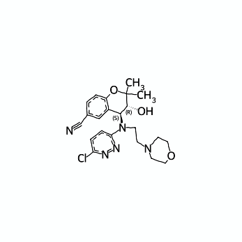 CC1(C)Oc2ccc(C#N)cc2[C@H](N(CCN2CCOCC2)c2ccc(Cl)nn2)[C@H]1O